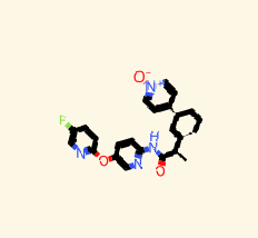 C[C@@H](C(=O)Nc1ccc(Oc2ccc(F)cn2)cn1)[C@H]1CCC[C@@H](c2cc[n+]([O-])cc2)C1